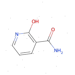 NC(=O)c1[c]ccnc1O